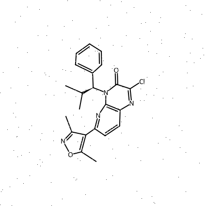 Cc1noc(C)c1-c1ccc2nc(Cl)c(=O)n([C@H](c3ccccc3)C(C)C)c2n1